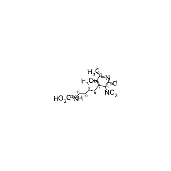 Cc1nc(Cl)c([N+](=O)[O-])c(CCCCNC(=O)O)c1C